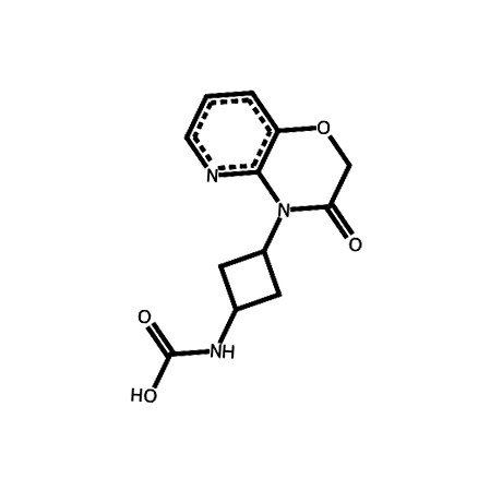 O=C(O)NC1CC(N2C(=O)COc3cccnc32)C1